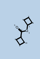 O=C(OC1CCC1)C1CCC1